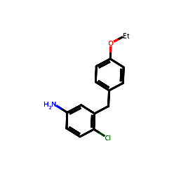 CCOc1ccc(Cc2cc(N)ccc2Cl)cc1